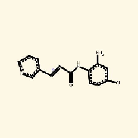 Nc1cc(Cl)ccc1NC(=O)/C=C/c1cccnc1